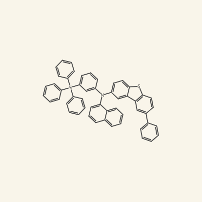 c1ccc(-c2ccc3sc4ccc(N(c5cccc([Si](c6ccccc6)(c6ccccc6)c6ccccc6)c5)c5cccc6ccccc56)cc4c3c2)cc1